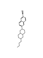 CCCCC1CCC2CC(c3ccc4cc(C#N)ccc4c3)CCC2C1